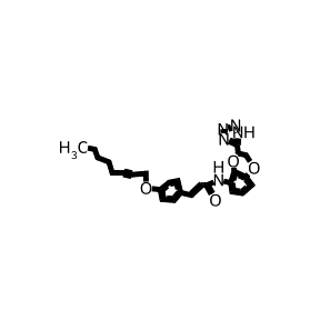 CCCCCC#CCOc1ccc(C=CC(=O)Nc2cccc3c2OC(c2nnn[nH]2)CO3)cc1